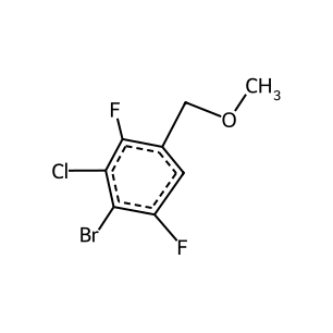 COCc1cc(F)c(Br)c(Cl)c1F